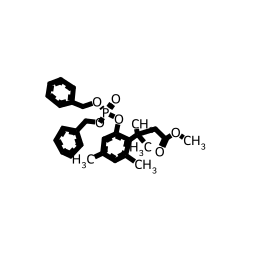 COC(=O)CC(C)(C)c1c(C)cc(C)cc1OP(=O)(OCc1ccccc1)OCc1ccccc1